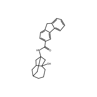 O=C(NC12CC3CCCC(O)(C1)C(C3)C2)c1ccc2c(c1)-c1ccccc1C2